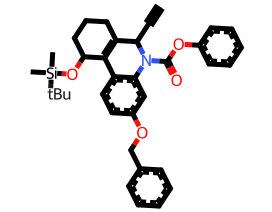 C#CC1C2=C(c3ccc(OCc4ccccc4)cc3N1C(=O)Oc1ccccc1)C(O[Si](C)(C)C(C)(C)C)CCC2